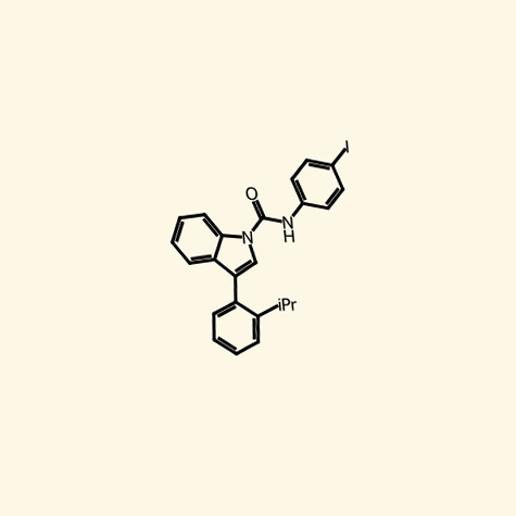 CC(C)c1ccccc1-c1cn(C(=O)Nc2ccc(I)cc2)c2ccccc12